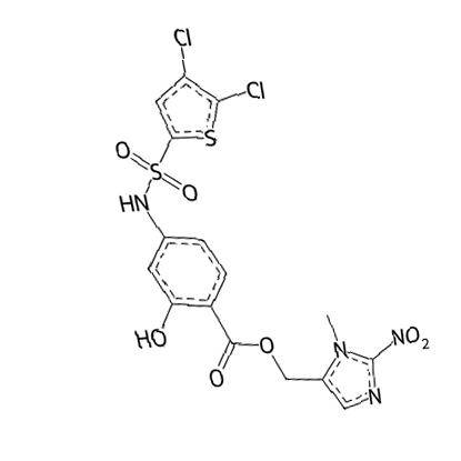 Cn1c(COC(=O)c2ccc(NS(=O)(=O)c3cc(Cl)c(Cl)s3)cc2O)cnc1[N+](=O)[O-]